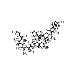 C=C/C=C(\C)[C@@H](C[C@@H]1CC[C@@H](C)[C@](O)(C(=O)C(=O)N2CCCC[C@H]2C(=O)O[C@@H](CC(=O)[C@H](C)/C=C(\C)[C@@H](O)[C@@H](OC)C(=O)[C@H](C)C[C@H](C)/C=C/C)[C@H](C)C[C@@H]2CC[C@@H](O)[C@H](OC)C2)O1)O[C@@H]1CO[C@H]2[C@@H]1OC[C@@H]2O